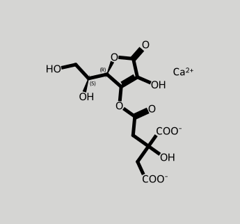 O=C([O-])CC(O)(CC(=O)OC1=C(O)C(=O)O[C@@H]1[C@@H](O)CO)C(=O)[O-].[Ca+2]